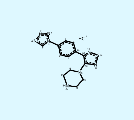 Cl.c1cc(-n2cnnn2)ccc1-c1nsnc1N1CCNCC1